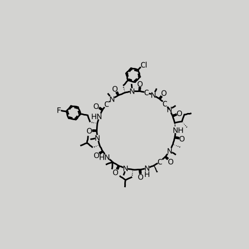 CC[C@H](C)[C@@H]1NC(=O)[C@H](C)N(C)C(=O)C[C@@H](C)NC(=O)[C@H](CC(C)C)N(C)C(=O)C(C)(C)NC(=O)[C@H](CC(C)C)N(C)C(=O)[C@H](CCc2ccc(F)cc2)NC(=O)CN(C)C(=O)[C@H](Cc2ccc(Cl)cc2)N(C)C(=O)CN(C)C(=O)CN(C)C1=O